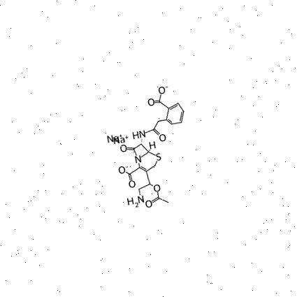 CC(=O)OC(CN)C1=C(C(=O)[O-])N2C(=O)[C@H](NC(=O)Cc3ccccc3C(=O)[O-])[C@H]2SC1.[Na+].[Na+]